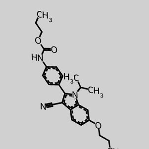 CCCOC(=O)Nc1ccc(-c2c(C#N)c3ccc(OCCC)cc3n2C(C)C)cc1